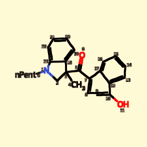 CCCCCN1CC(C)(C(=O)c2ccc(O)c3ccccc23)c2ccccc21